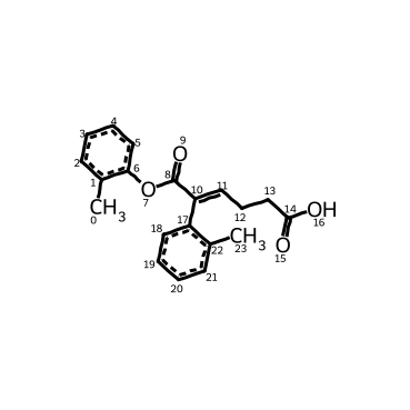 Cc1ccccc1OC(=O)C(=CCCC(=O)O)c1ccccc1C